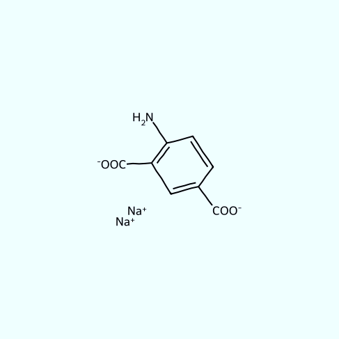 Nc1ccc(C(=O)[O-])cc1C(=O)[O-].[Na+].[Na+]